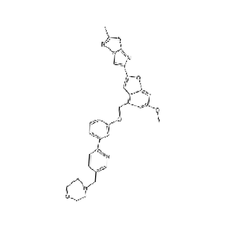 COc1cc(COc2cccc(-c3ccc(CN4CCOCC4)cn3)c2)c2cc(-c3cn4nc(C)sc4n3)oc2c1